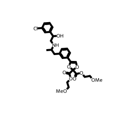 COCCOC(=O)C1(C(=O)OCCOC)OC=C(c2cccc(CC(C)NCC(O)c3cccc(Cl)c3)c2)O1